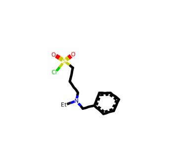 CCN(CCCS(=O)(=O)Cl)Cc1ccccc1